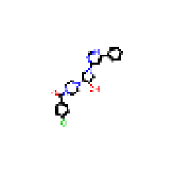 O=C(c1ccc(Cl)cc1)N1CCN([C@@H]2CN(c3cc(-c4ccccc4)ncn3)C[C@H]2O)CC1